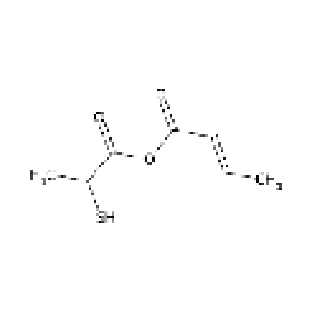 C/C=C/C(=O)OC(=O)C(C)S